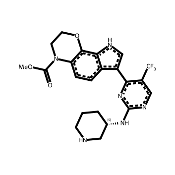 COC(=O)N1CCOc2c1ccc1c(-c3nc(N[C@H]4CCCNC4)ncc3C(F)(F)F)c[nH]c21